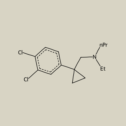 CCCN(CC)CC1(c2ccc(Cl)c(Cl)c2)CC1